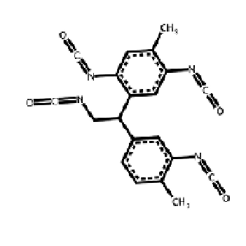 Cc1ccc(C(CN=C=O)c2cc(N=C=O)c(C)cc2N=C=O)cc1N=C=O